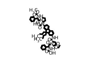 CCCCC1(CCCC)c2cc(NC(=O)[C@@H]3CC4(CN3C(=O)[C@H](NC(=O)O)c3ccccc3)OCCO4)ccc2-c2ccc(N(C(=O)O)[C@H]3CCCN3C(=O)[C@H](NC(=O)OC)c3ccccc3)cc21